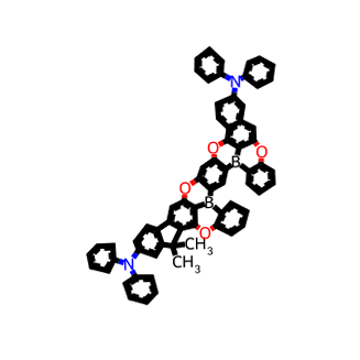 CC1(C)c2cc(N(c3ccccc3)c3ccccc3)ccc2-c2cc3c4c(c21)Oc1ccccc1B4c1cc2c(cc1O3)Oc1c3c(cc4cc(N(c5ccccc5)c5ccccc5)ccc14)Oc1ccccc1B23